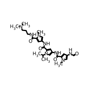 CC(C)n1cc(NC(=O)c2cc(NC=O)cn2C)cc1C(=O)Nc1cc(C(=O)NCCCN(C)C)n(C)c1